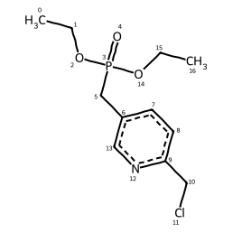 CCOP(=O)(Cc1ccc(CCl)nc1)OCC